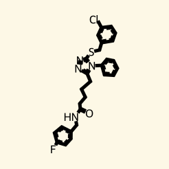 O=C(CCCCc1nnc(SCc2cccc(Cl)c2)n1-c1ccccc1)NCc1ccc(F)cc1